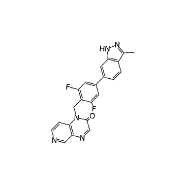 Cc1n[nH]c2cc(-c3cc(F)c(Cn4c(=O)cnc5cnccc54)c(F)c3)ccc12